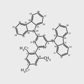 Cc1cc(C)c(-c2nc(-n3c4ccccc4c4ccccc43)cc(-n3c4ccccc4c4ccccc43)n2)c(C)c1